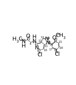 CNC(=O)CNc1nc(Cl)cc2c1cnn2-c1cc(Cl)ccc1OC